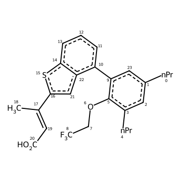 CCCc1cc(CCC)c(OCC(F)(F)F)c(-c2cccc3sc(C(C)=CC(=O)O)cc23)c1